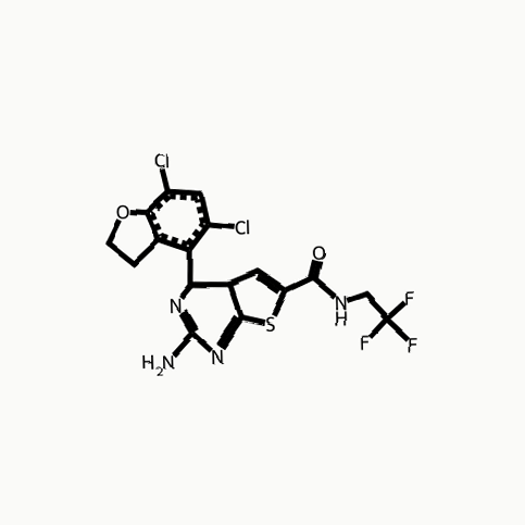 NC1=NC(c2c(Cl)cc(Cl)c3c2CCO3)C2C=C(C(=O)NCC(F)(F)F)SC2=N1